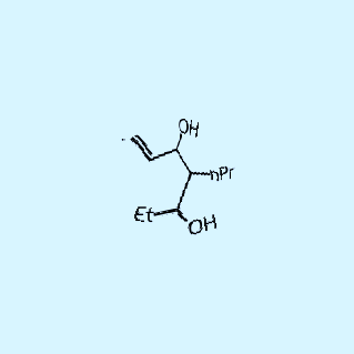 [CH]=CC(O)C(CCC)C(O)CC